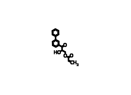 C=CC(=O)OCC(O)C(=O)c1cccc(-c2ccccc2)c1